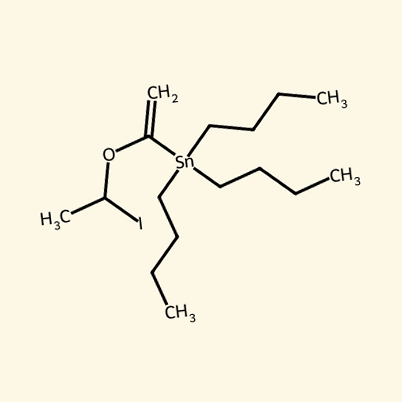 C=[C](OC(C)I)[Sn]([CH2]CCC)([CH2]CCC)[CH2]CCC